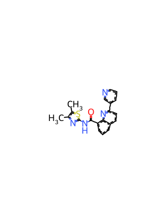 Cc1nc(NC(=O)c2cccc3ccc(-c4cccnc4)nc23)sc1C